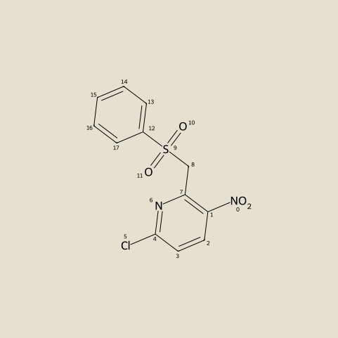 O=[N+]([O-])c1ccc(Cl)nc1CS(=O)(=O)c1ccccc1